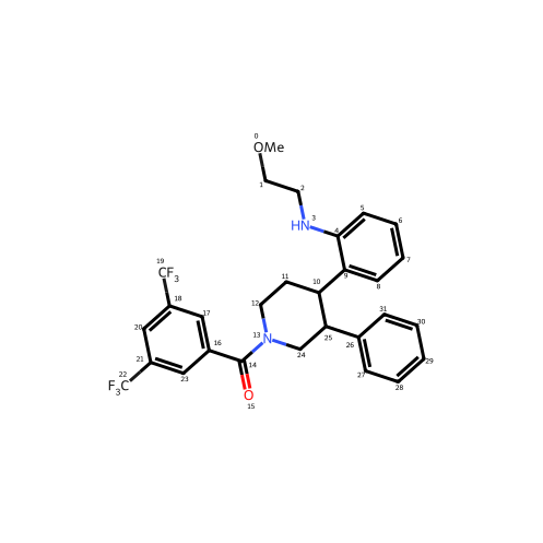 COCCNc1ccccc1C1CCN(C(=O)c2cc(C(F)(F)F)cc(C(F)(F)F)c2)CC1c1ccccc1